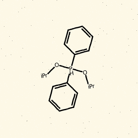 CC(C)O[PH](OC(C)C)(c1ccccc1)c1ccccc1